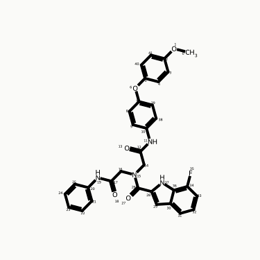 COc1ccc(Oc2ccc(NC(=O)CN(CC(=O)Nc3ccccc3)C(=O)c3cc4cccc(F)c4[nH]3)cc2)cc1